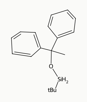 CC(C)(C)[SiH2]OC(C)(c1ccccc1)c1ccccc1